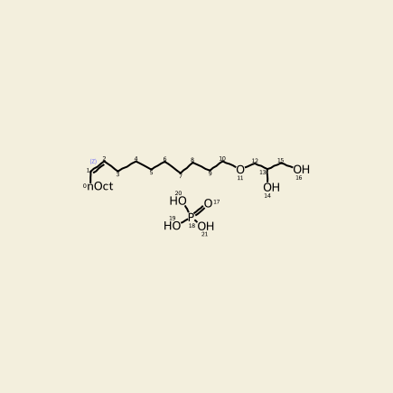 CCCCCCCC/C=C\CCCCCCCCOCC(O)CO.O=P(O)(O)O